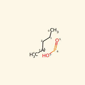 CC[CH2][Al][CH3].O=PO